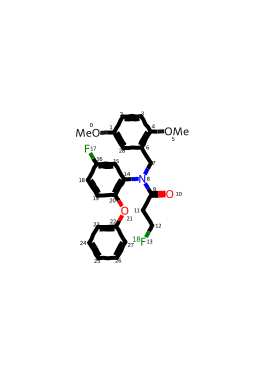 COc1ccc(OC)c(CN(C(=O)CC[18F])c2cc(F)ccc2Oc2ccccc2)c1